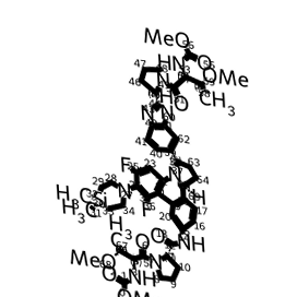 COC(=O)N[C@H](C(=O)N1CCC[C@H]1C(=O)Nc1ccc2c(c1)-c1c(cc(F)c(N3CC[Si](C)(C)CC3)c1F)N1[C@H](c3ccc4nc([C@@H]5CCCN5C(=O)[C@@H](NC(=O)OC)[C@@H](C)OC)[nH]c4c3)CC[C@@H]21)[C@@H](C)OC